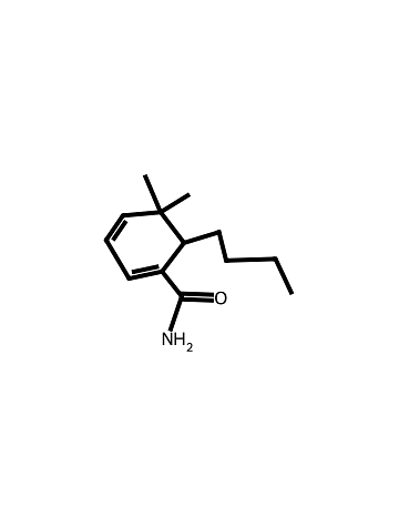 CCCCC1C(C(N)=O)=CC=CC1(C)C